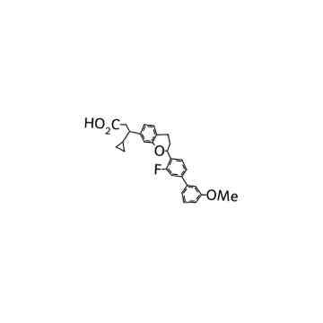 COc1cccc(-c2ccc(C3CCc4ccc(C(CC(=O)O)C5CC5)cc4O3)c(F)c2)c1